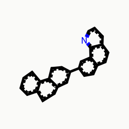 c1ccc2c(c1)ccc1cc(-c3ccc4ccc5cccnc5c4c3)ccc12